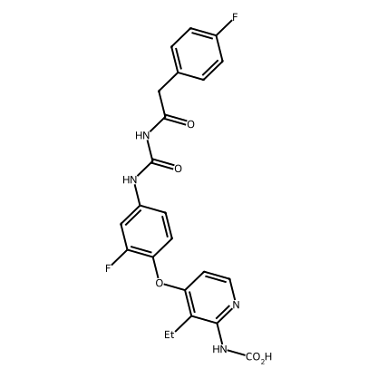 CCc1c(Oc2ccc(NC(=O)NC(=O)Cc3ccc(F)cc3)cc2F)ccnc1NC(=O)O